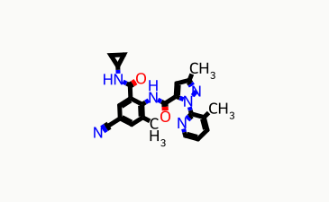 Cc1cc(C(=O)Nc2c(C)cc(C#N)cc2C(=O)NC2CC2)n(-c2ncccc2C)n1